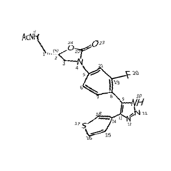 CC(=O)NC[C@H]1CN(c2ccc(-c3[nH]nnc3-c3ccsc3)c(F)c2)C(=O)O1